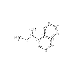 CCN(O)c1cccc2ccccc12